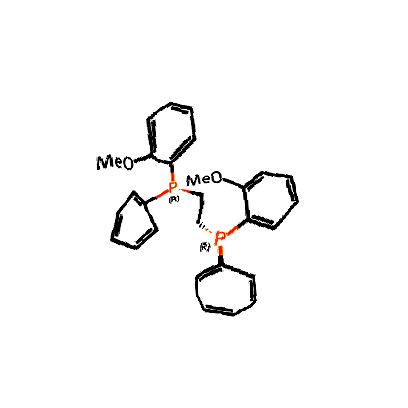 COc1ccccc1[P@@](CC[P@@](c1ccccc1)c1ccccc1OC)c1ccccc1